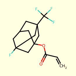 C=CC(=O)OC12CC3CC(F)(C1)CC(C(F)(F)F)(C3)C2